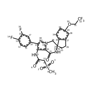 CS(=O)(=O)CC(=O)Nc1c(-c2ccc(F)c(F)c2)nn2c1C(=O)N[C@]1(CCc3cc(OCC(F)(F)F)ccc31)C2